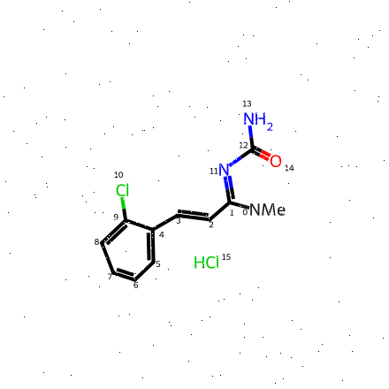 CNC(C=Cc1ccccc1Cl)=NC(N)=O.Cl